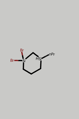 CCC[SiH]1CCC[Si](Br)(Br)C1